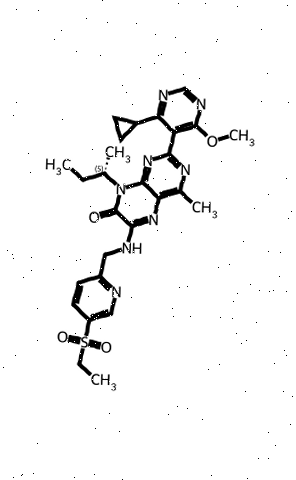 CC[C@H](C)n1c(=O)c(NCc2ccc(S(=O)(=O)CC)cn2)nc2c(C)nc(-c3c(OC)ncnc3C3CC3)nc21